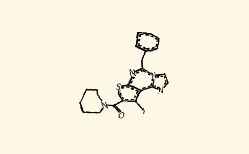 O=C(c1sc2nc(-c3ccccc3)n3ccnc3c2c1I)N1CCCCC1